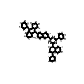 C1=C(c2ccccc2)c2ccccc2C(c2nc(-c3ccccc3)nc(-c3ccc4cc(-c5c6ccccc6c(-c6ccccc6)c6ccccc56)ccc4c3)n2)C1